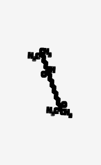 CC(C)CCCCNC(=O)CCCCCCCCCCC(=O)C(C)C